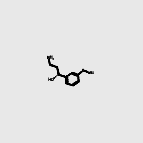 CCCCOc1cccc([C@H](O)CCN)c1